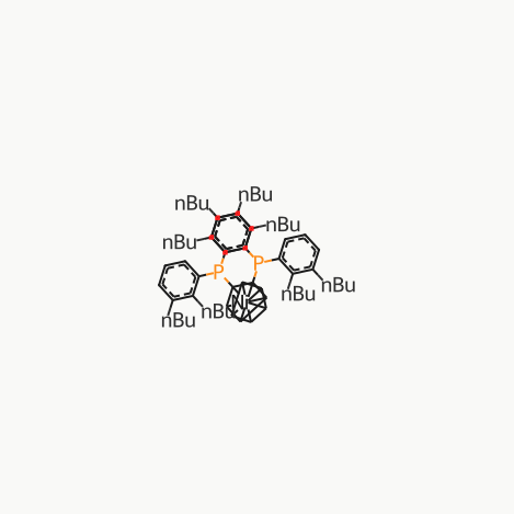 CCCCc1cccc(P(c2cccc(CCCC)c2CCCC)[C]23[CH]4[CH]5[CH]6[C]2(P(c2cccc(CCCC)c2CCCC)c2cccc(CCCC)c2CCCC)[Ni]54632789[CH]3[CH]2[CH]7[CH]8[CH]39)c1CCCC